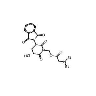 CCN(CC)CC(=O)OCN1C(=O)CCC(N2C(=O)c3ccccc3C2=O)C1=O.Cl